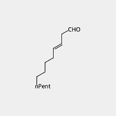 CCCCCCCCCC=CCC=O